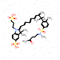 C=C(/C=C/C=C/C=C/C=C1/N(CCCS(=O)(=O)O)c2ccc(S(=O)(=O)O)cc2C1(C)C)C(C)(C)c1cc(S(=O)(=O)N(C)CCCC(C)=O)ccc1C